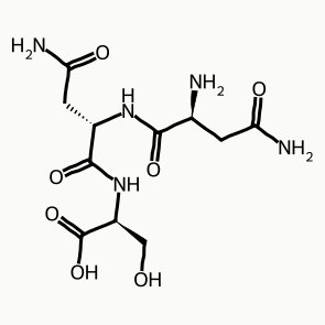 NC(=O)C[C@H](NC(=O)[C@@H](N)CC(N)=O)C(=O)N[C@@H](CO)C(=O)O